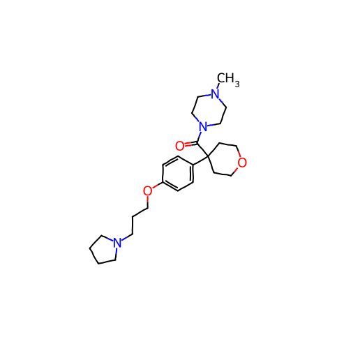 CN1CCN(C(=O)C2(c3ccc(OCCCN4CCCC4)cc3)CCOCC2)CC1